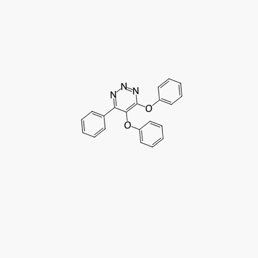 c1ccc(Oc2nnnc(-c3ccccc3)c2Oc2ccccc2)cc1